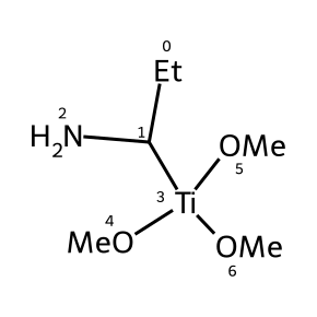 CC[CH](N)[Ti]([O]C)([O]C)[O]C